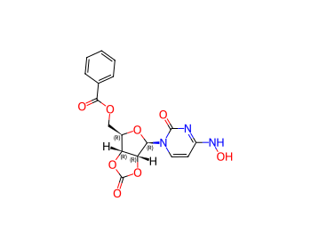 O=C1O[C@@H]2[C@H](O1)[C@@H](COC(=O)c1ccccc1)O[C@H]2n1ccc(NO)nc1=O